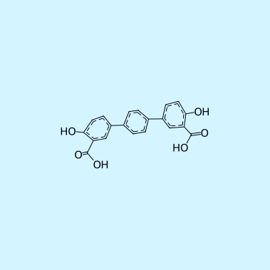 O=C(O)c1cc(-c2ccc(-c3ccc(O)c(C(=O)O)c3)cc2)ccc1O